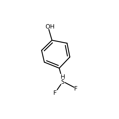 Oc1ccc([SH](F)F)cc1